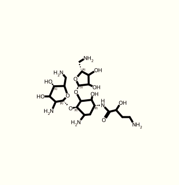 NCCC(O)C(=O)N[C@@H]1CC(N)[C@@H](O[C@H]2OC(CN)[C@@H](O)C(O)C2N)C(O[C@@H]2O[C@H](CN)C(O)C2O)C1O